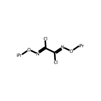 CC(C)ON=C(Cl)C(Cl)=NOC(C)C